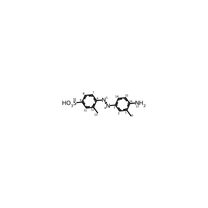 Cc1cc(N=Nc2ccc(S(=O)(=O)O)cc2C)ccc1N